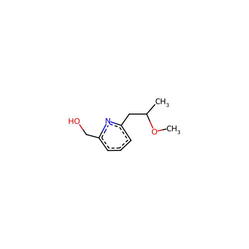 COC(C)Cc1cccc(CO)n1